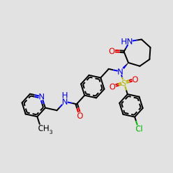 Cc1cccnc1CNC(=O)c1ccc(CN([C@@H]2CCCCNC2=O)S(=O)(=O)c2ccc(Cl)cc2)cc1